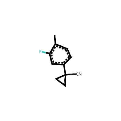 Cc1ccc(C2(C#N)CC2)cc1F